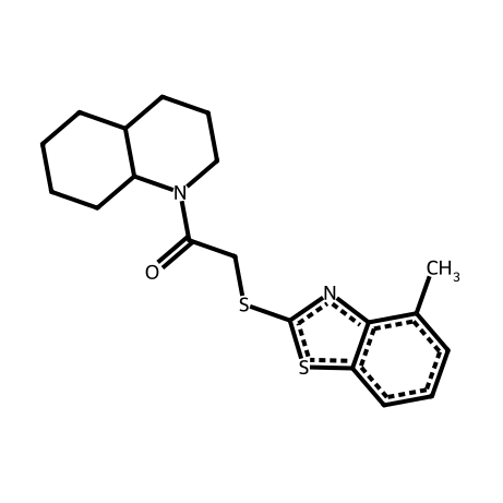 Cc1cccc2sc(SCC(=O)N3CCCC4CCCCC43)nc12